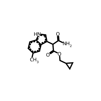 Cc1ccc2[nH]cc(C(C(N)=O)C(=O)OCC3CC3)c2c1